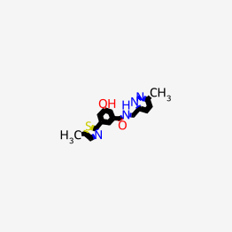 Cc1ccc(CNC(=O)c2cc(O)cc(-c3ncc(C)s3)c2)nn1